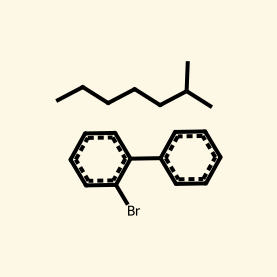 Brc1ccccc1-c1ccccc1.CCCCCC(C)C